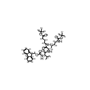 CC(C)[C@H](NC(=O)OCC1c2ccccc2-c2ccccc21)C(=O)N[C@@H](CCCCNC(=O)OC(C)(C)C)C(=O)NCCCC(=O)OC(C)(C)C